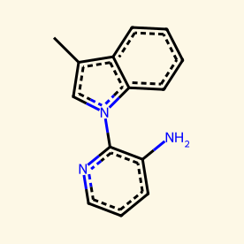 Cc1cn(-c2ncccc2N)c2ccccc12